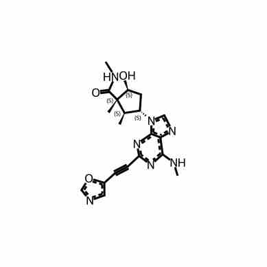 CNC(=O)[C@@]1(C)[C@H](C)[C@@H](n2cnc3c(NC)nc(C#Cc4cnco4)nc32)C[C@@H]1O